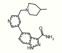 CC1CCN(Cc2cncc(-c3ccc4[nH]nc(C(N)=O)c4c3)c2)CC1